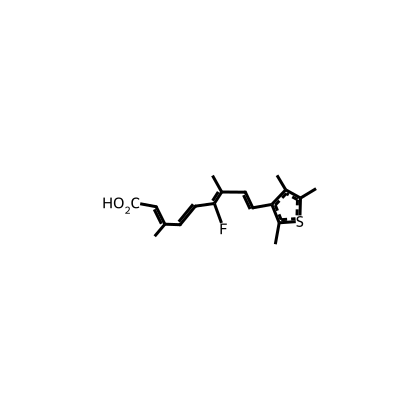 CC(C=CC(F)=C(C)C=Cc1c(C)sc(C)c1C)=CC(=O)O